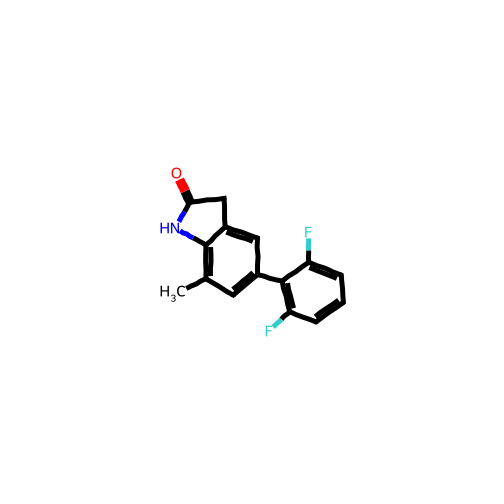 Cc1cc(-c2c(F)cccc2F)cc2c1NC(=O)C2